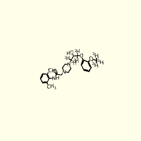 [2H]C([2H])([2H])Oc1ccccc1OC([2H])([2H])C(O)C([2H])([2H])N1CCN(CC(=O)Nc2c(C)cccc2C)CC1